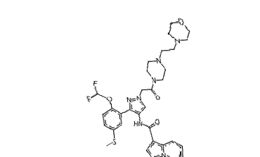 CSc1ccc(OC(F)F)c(-c2nn(CC(=O)N3CCN(CCN4CCOCC4)CC3)cc2NC(=O)c2cnn3ccccc23)c1